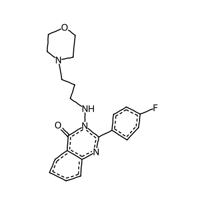 O=c1c2ccccc2nc(-c2ccc(F)cc2)n1NCCCN1CCOCC1